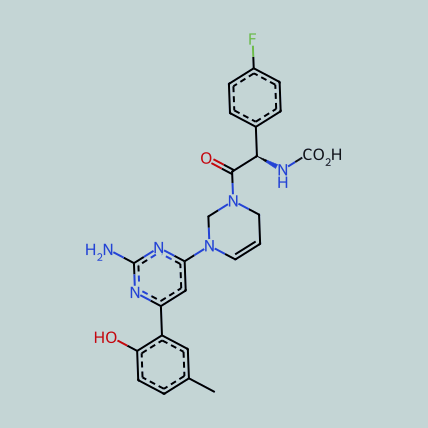 Cc1ccc(O)c(-c2cc(N3C=CCN(C(=O)[C@H](NC(=O)O)c4ccc(F)cc4)C3)nc(N)n2)c1